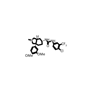 COc1ccc([C@@]23CC[C@@H](NC(=O)Nc4ccc(Cl)c(C(F)(F)F)c4)C[C@@H]2CN(C)C3)cc1OC